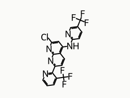 FC(F)(F)c1ccc(Nc2cc(Cl)nc3nc(-c4ncccc4C(F)(F)F)ccc23)nc1